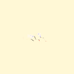 CCSc1cc2c([nH]1)CN=C(CCO)C2=O